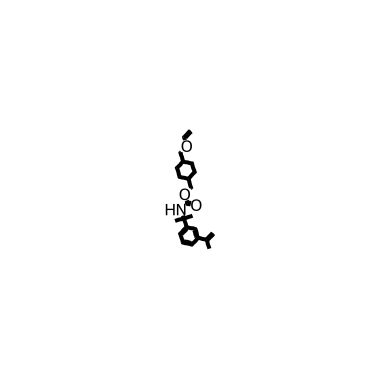 C=COCC1CCC(COC(=O)NC(C)(C)c2cccc(C(=C)C)c2)CC1